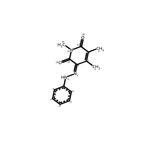 CC1=C(C)/C(=N/Nc2ccccc2)C(=O)N(C)C1=O